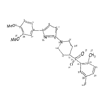 COc1ccc(-c2csc(N3CCC(S(=O)(=O)c4cc(F)ccc4C)CC3)n2)cc1OC